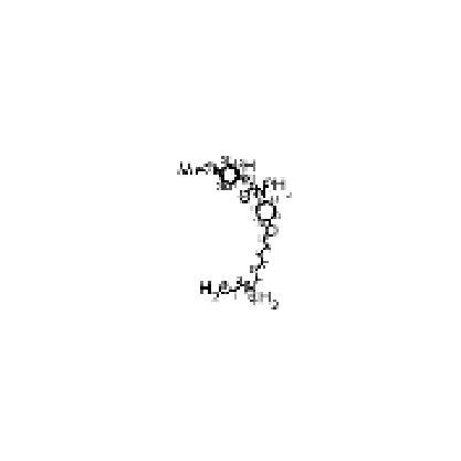 C=CCN(C)CCCCCCOC1CCC(N(C)C(=O)Nc2ccc(OC)cc2)CC1